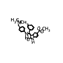 COC(=O)c1ccc2c(c1)/C(=C(/Nc1ccc(CN(C)C)cc1)c1ccccc1)C(=O)N2